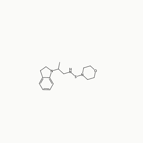 CC(CNSN1CCOCC1)N1CCc2ccccc21